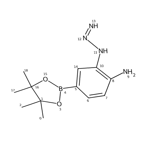 CC1(C)OB(c2ccc(N)c(NN=N)c2)OC1(C)C